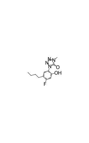 CCCCc1cc(-n2nnn(C)c2=O)c(O)cc1F